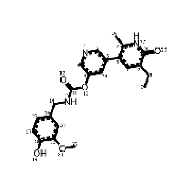 CCc1cc(-c2cncc(OC(=O)NCc3ccc(O)c(OC)c3)c2)c(C)[nH]c1=O